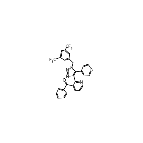 O=C(c1ccccc1)c1cccnc1-c1nnn(Cc2cc(C(F)(F)F)cc(C(F)(F)F)c2)c1-c1ccncc1